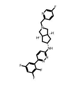 Fc1ccc(CN2C[C@H]3C[C@H](Nc4ccc(-c5cc(F)cc(F)c5F)nn4)C[C@H]3C2)nc1